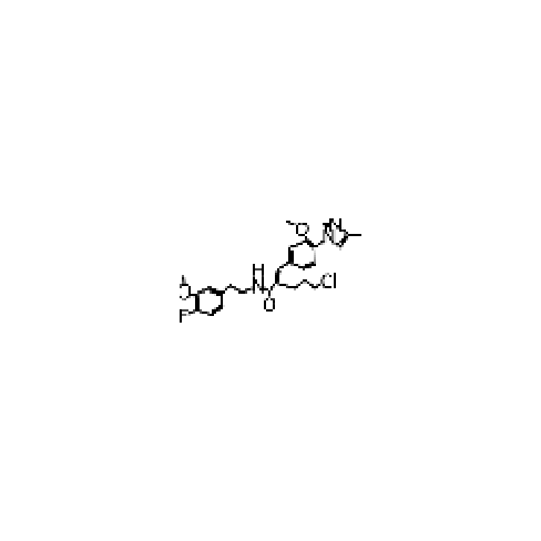 COc1cc(CCNC(=O)C(=Cc2ccc(-n3cnc(C)c3)c(OC)c2)CCCCl)ccc1F